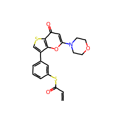 C=CC(=O)Sc1cccc(-c2csc3c(=O)cc(N4CCOCC4)oc23)c1